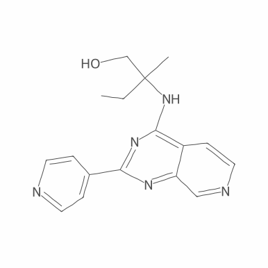 CCC(C)(CO)Nc1nc(-c2ccncc2)nc2cnccc12